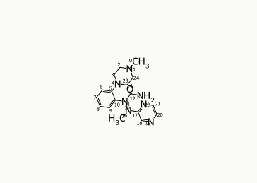 CN1CCN(c2ccccc2N(C(N)=O)N(C)c2cnccn2)CC1